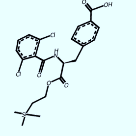 C[Si](C)(C)CCOC(=O)[C@H](Cc1ccc(C(=O)O)cc1)NC(=O)c1c(Cl)cccc1Cl